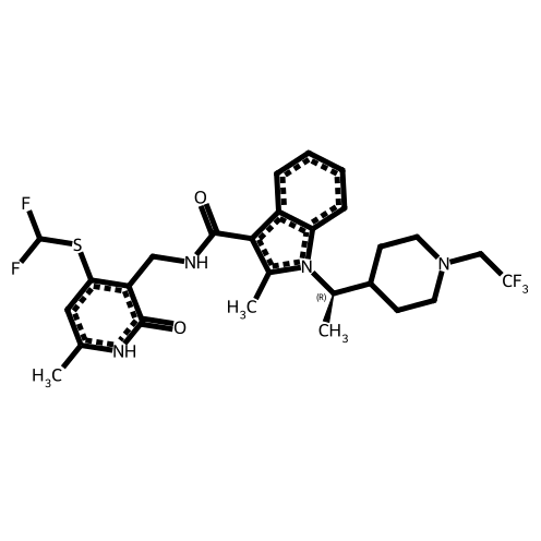 Cc1cc(SC(F)F)c(CNC(=O)c2c(C)n([C@H](C)C3CCN(CC(F)(F)F)CC3)c3ccccc23)c(=O)[nH]1